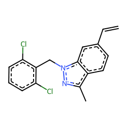 C=Cc1ccc2c(C)nn(Cc3c(Cl)cccc3Cl)c2c1